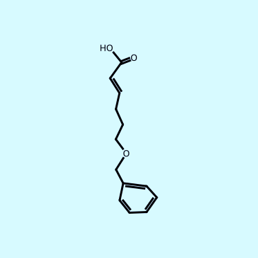 O=C(O)C=CCCCOCc1ccccc1